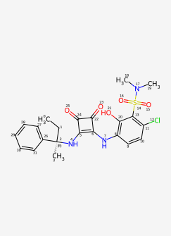 CC[C@@](C)(Nc1c(Nc2ccc(Cl)c(S(=O)(=O)N(C)C)c2O)c(=O)c1=O)c1ccccc1